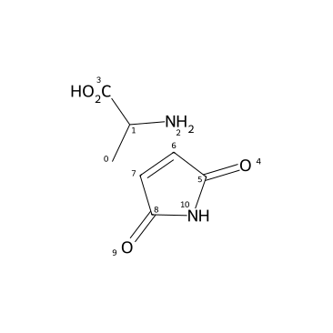 CC(N)C(=O)O.O=C1C=CC(=O)N1